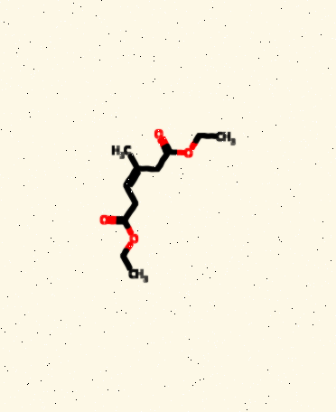 CCOC(=O)C/C=C(/C)CC(=O)OCC